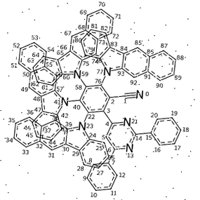 N#Cc1c(-c2cc(-c3ccccc3)nc(-c3ccccc3)n2)c(-n2c3ccccc3c3cc4ccccc4cc32)c(-n2c3ccccc3c3cc4ccccc4cc32)c(-n2c3ccccc3c3cc4ccccc4cc32)c1-n1c2ccccc2c2cc3ccccc3cc21